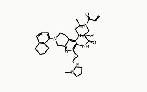 C=CC(=O)N1C[C@@H]2C(=O)Nc3c(OC[C@@H]4CCCN4C)nc4c(c3N2C[C@H]1C)CCN(c1cccc2c1CCCC2)C4